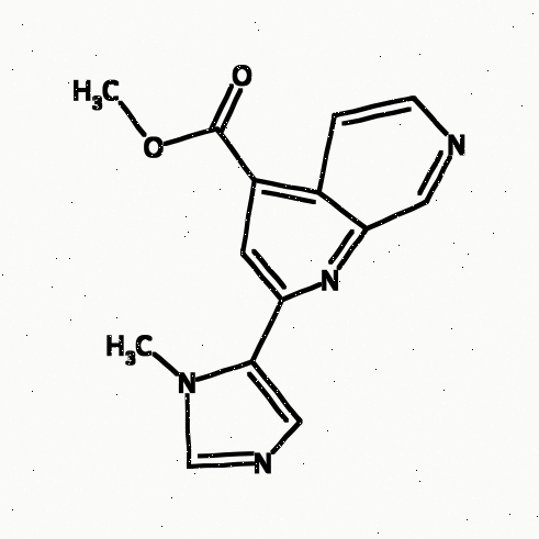 COC(=O)c1cc(-c2cncn2C)nc2cnccc12